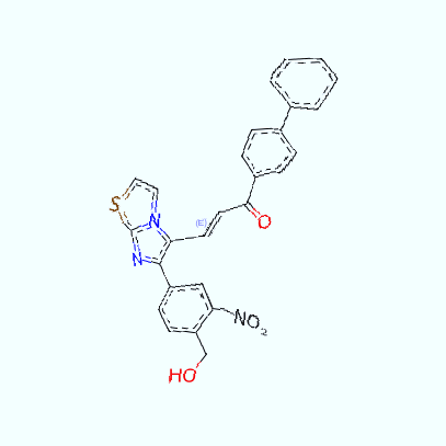 O=C(/C=C/c1c(-c2ccc(CO)c([N+](=O)[O-])c2)nc2sccn12)c1ccc(-c2ccccc2)cc1